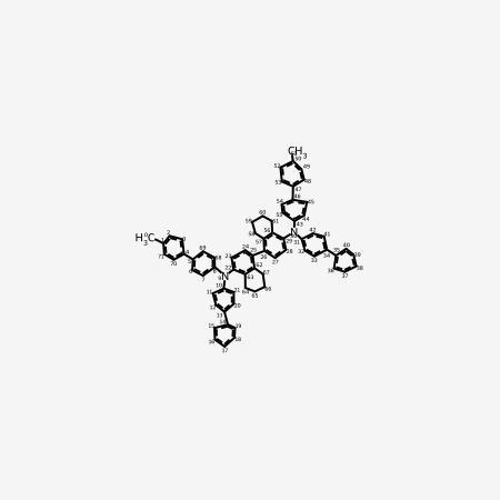 Cc1ccc(-c2ccc(N(c3ccc(-c4ccccc4)cc3)c3ccc(-c4ccc(N(c5ccc(-c6ccccc6)cc5)c5ccc(-c6ccc(C)cc6)cc5)c5c4CCCC5)c4c3CCCC4)cc2)cc1